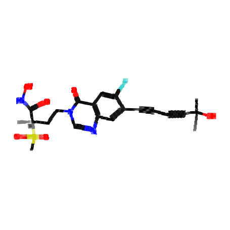 CC(C)(O)C#CC#Cc1cc2ncn(CC[C@](C)(C(=O)NO)S(C)(=O)=O)c(=O)c2cc1F